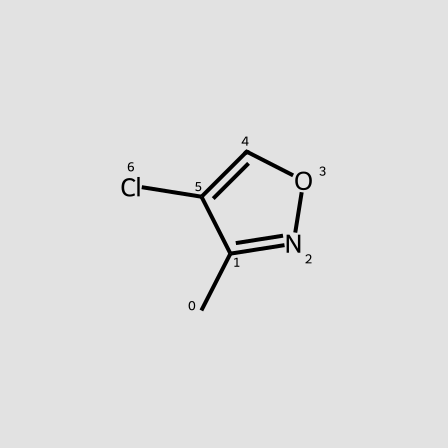 Cc1nocc1Cl